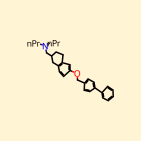 CCCN(CCC)CC1CCc2cc(OCc3ccc(-c4ccccc4)cc3)ccc2C1